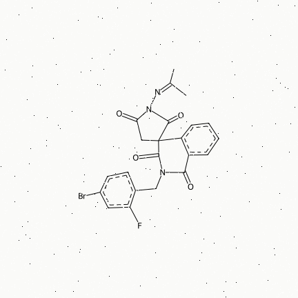 CC(C)=NN1C(=O)CC2(C(=O)N(Cc3ccc(Br)cc3F)C(=O)c3ccccc32)C1=O